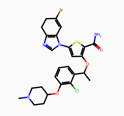 CC(Oc1cc(-n2cnc3c2C=C(Br)CC3)sc1C(N)=O)c1cccc(OC2CCN(C)CC2)c1Cl